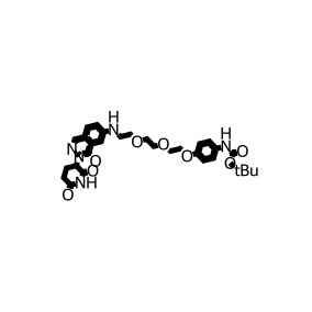 CC(C)(C)OC(=O)Nc1ccc(OCCOCCOCCNc2ccc3cnn(C4CCC(=O)NC4=O)c(=O)c3c2)cc1